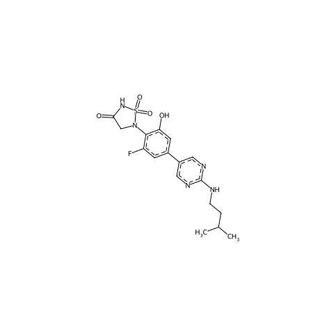 CC(C)CCNc1ncc(-c2cc(O)c(N3CC(=O)NS3(=O)=O)c(F)c2)cn1